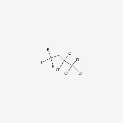 FC(F)(F)CC(Cl)(Cl)C(Cl)(Cl)Cl